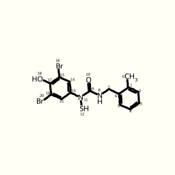 Cc1ccccc1CNC(=O)N(S)c1cc(Br)c(O)c(Br)c1